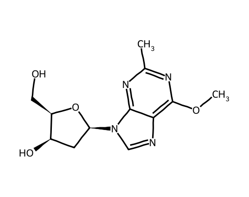 COc1nc(C)nc2c1ncn2[C@H]1C[C@@H](O)[C@@H](CO)O1